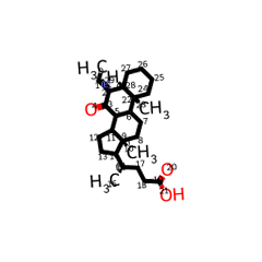 C/C=C1/C(=O)C2C(CC[C@@]3(C)C2CCC3[C@H](C)CCC(=O)O)C2(C)CCCC[C@@H]12